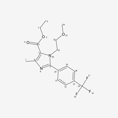 CCOC(=O)c1c(C)nc(-c2ccc(C(F)(F)F)cc2)n1CCOC